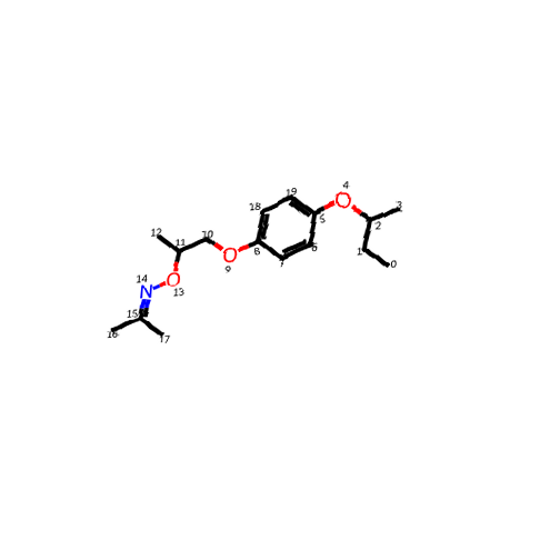 CCC(C)Oc1ccc(OCC(C)ON=C(C)C)cc1